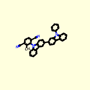 Cc1c(C#N)ccc(C#N)c1-n1c2ccccc2c2cc(-c3ccc4c5ccccc5n(-c5ccccc5)c4c3)ccc21